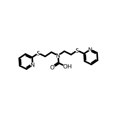 O=C(O)N(CCSc1ccccn1)CCSc1ccccn1